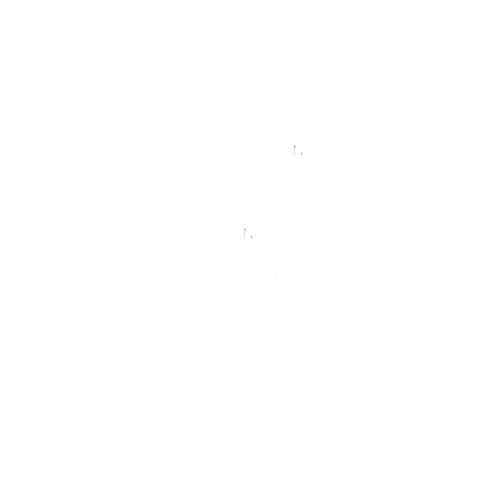 CN1CC2CN(C3=Cc4ccccc4S3(=O)=O)CC2C1